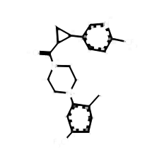 Cc1ccc(C(F)(F)F)cc1N1CCN(C(=O)C2CC2c2ccc(C(F)(F)F)nc2)CC1